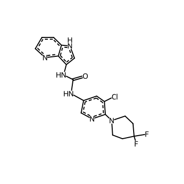 O=C(Nc1cnc(N2CCC(F)(F)CC2)c(Cl)c1)Nc1c[nH]c2cccnc12